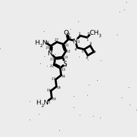 CCCN(CC1CCC1)C(=O)C1=Cc2sc(CCCCCN)cc2N=C(N)C1